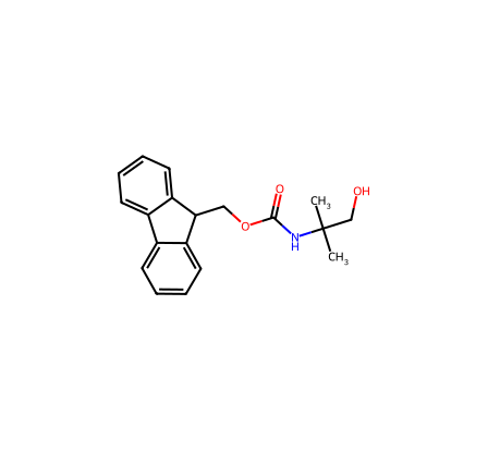 CC(C)(CO)NC(=O)OCC1c2ccccc2-c2ccccc21